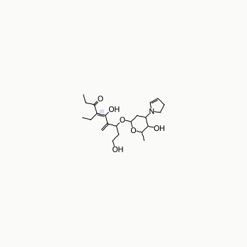 C=C(/C(O)=C(\CC)C(=O)CC)C(CCO)OC1CC(N2C=CCC2)C(O)C(C)O1